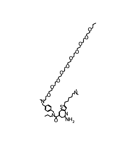 CCCOCCOCCOCCOCCOCCOCCOCCOCCOCCOCCN(C)Cc1ccc(CN(CCC)C(=O)C2=Cc3sc(CCCCCN(C)C)cc3N=C(N)C2)cc1